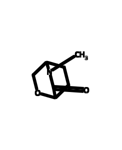 CN1C(=O)C2CCC1CO2